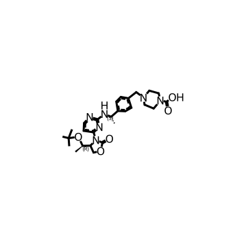 C[C@H](Nc1nccc(N2C(=O)OCC2[C@@H](C)OC(C)(C)C)n1)c1ccc(CN2CCN(C(=O)O)CC2)cc1